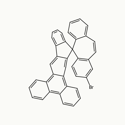 Brc1ccc2c(c1)C=Cc1ccccc1C21c2ccccc2-c2cc3c4ccccc4c4ccccc4c3cc21